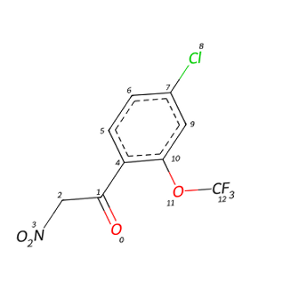 O=C(C[N+](=O)[O-])c1ccc(Cl)cc1OC(F)(F)F